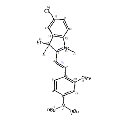 CCCCN(CCCC)c1ccc(/C=C/C2=[N+](C)c3ccc(Cl)cc3C2(C)CC)c(OC)c1